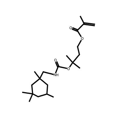 C=C(C)C(=O)OCCC(C)(C)OC(=O)NCC1(C)CC(C)CC(C)(C)C1